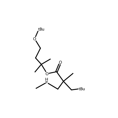 CPCC(C)(CC(C)(C)C)C(=O)OC(C)(C)CCOC(C)(C)C